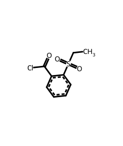 CCS(=O)(=O)c1ccccc1C(=O)Cl